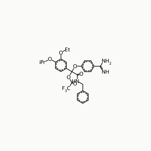 CCOc1cc(C(OC(=O)C(F)(F)F)(Oc2ccc(C(=N)N)cc2)C(=O)NCc2ccccc2)ccc1OC(C)C